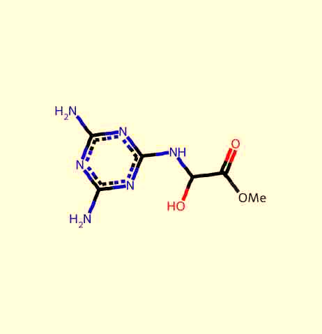 COC(=O)C(O)Nc1nc(N)nc(N)n1